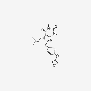 CC(C)CCn1c(Oc2ccc(OC3COC3)cc2)nc2c1c(=O)n(C)c(=O)n2C